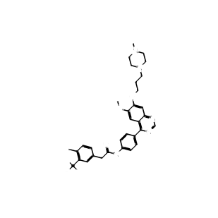 COc1cc2c(-c3ccc(NC(=O)Cc4ccc(Cl)c(C(F)(F)F)c4)cc3)ncnc2cc1OCCCN1CCN(C)CC1